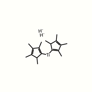 CC1=C(C)C(C)[C]([Ti][C]2=C(C)C(C)=C(C)C2C)=C1C.[H-].[H-]